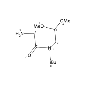 CCC(C)N(CC(OC)OC)C(=O)CN